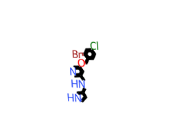 Clc1ccc(COc2cncc(CNCC3CCNC3)c2)c(Br)c1